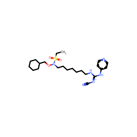 CCS(=O)(=O)N(CCCCCCCN/C(=N\C#N)Nc1ccncc1)OCC1CCCCC1